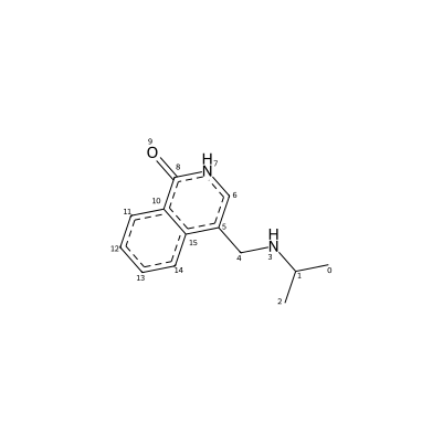 CC(C)NCc1c[nH]c(=O)c2ccccc12